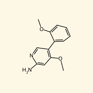 COc1ccccc1-c1cnc(N)cc1OC